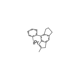 CC1=Cc2c(cc3c(c2-c2ccccc2C(C)C)CCC3)C1